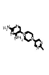 Cc1ncc(N2CCN(c3cnc(N)nc3N)CC2)cn1